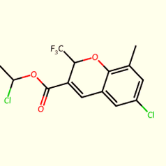 Cc1cc(Cl)cc2c1OC(C(F)(F)F)C(C(=O)OC(C)Cl)=C2